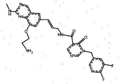 CNc1ncc2cc(C=CCNC(=O)c3cncn(Cc4ccc(F)c(F)c4)c3=O)cc(OCCN)c2n1